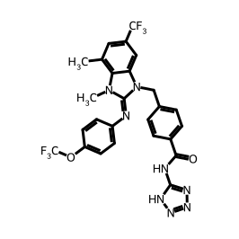 Cc1cc(C(F)(F)F)cc2c1n(C)c(=Nc1ccc(OC(F)(F)F)cc1)n2Cc1ccc(C(=O)Nc2nnn[nH]2)cc1